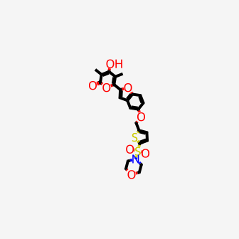 Cc1c(-c2cc3cc(OCc4ccc(S(=O)(=O)N5CCOCC5)s4)ccc3o2)oc(=O)c(C)c1O